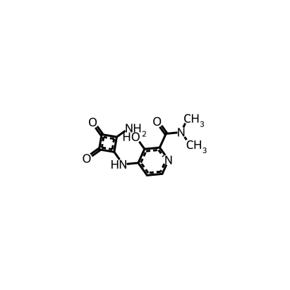 CN(C)C(=O)c1nccc(Nc2c(N)c(=O)c2=O)c1O